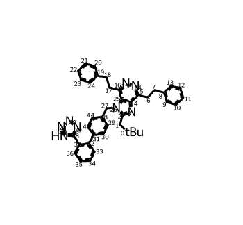 CC(C)(C)Cc1nc2c(CCc3ccccc3)nnc(CCc3ccccc3)c2n1Cc1ccc(-c2ccccc2-c2nnn[nH]2)cc1